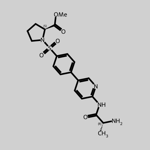 COC(=O)[C@@H]1CCCN1S(=O)(=O)c1ccc(-c2ccc(NC(=O)[C@@H](C)N)nc2)cc1